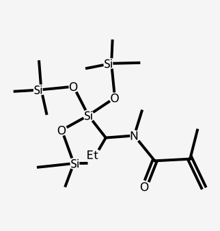 C=C(C)C(=O)N(C)C(CC)[Si](O[Si](C)(C)C)(O[Si](C)(C)C)O[Si](C)(C)C